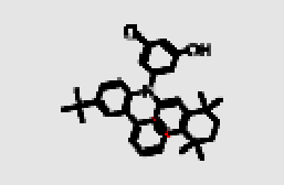 CC(C)(C)c1ccc(N(c2cc(O)cc(Cl)c2)c2ccc3c(c2)C(C)(C)CCC3(C)C)c(-c2ccccc2)c1